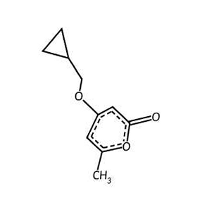 Cc1cc(OCC2CC2)cc(=O)o1